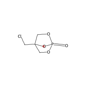 O=P12OCC(CCl)(CO1)CO2